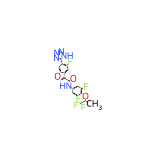 C[C@H](Oc1ccc(NC(=O)c2coc3cc(-c4nnn[nH]4)c(F)cc23)cc1F)C(F)(F)F